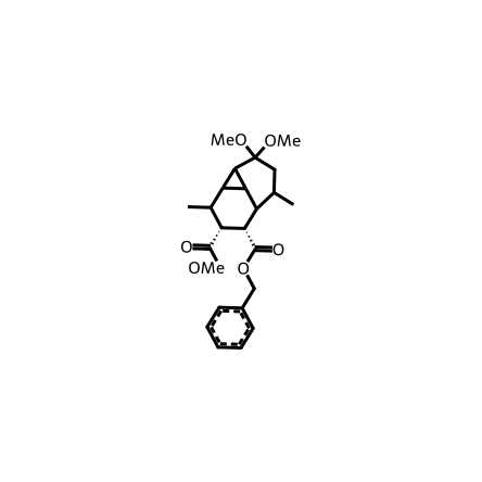 COC(=O)[C@@H]1C(C)C2C3C(C(C)CC(OC)(OC)C23)[C@@H]1C(=O)OCc1ccccc1